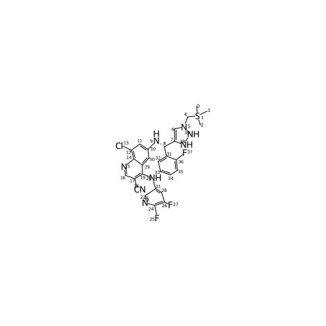 CS(C)(C)CN1C=C([C@@H](Nc2cc(Cl)c3ncc(C#N)c(Nc4cnc(F)c(F)c4)c3c2)c2ccccc2F)NN1